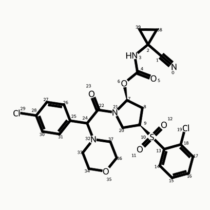 N#CC1(NC(=O)O[C@H]2C[C@@H](S(=O)(=O)c3ccccc3Cl)CN2C(=O)C(c2ccc(Cl)cc2)N2CCOCC2)CC1